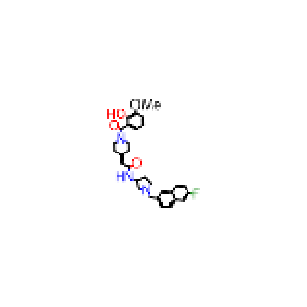 COc1cccc(C(=O)N2CCC(=CC(=O)NC3CCN(Cc4ccc5cc(F)ccc5c4)C3)CC2)c1O